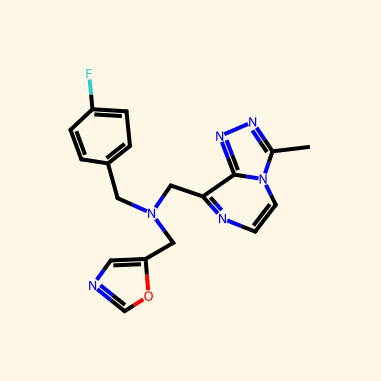 Cc1nnc2c(CN(Cc3ccc(F)cc3)Cc3cnco3)nccn12